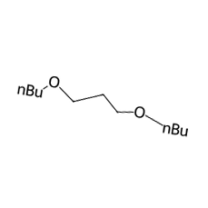 CCCCOCCCOCCCC